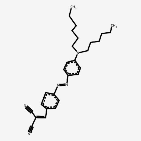 CCCCCCN(CCCCCC)c1ccc(/N=N/c2ccc(C=C(C#N)C#N)cc2)cc1